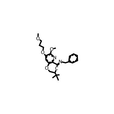 COCCCOc1cc2c(nc1OC)C(=NCc1ccccc1)CC(C(C)(C)C)CO2